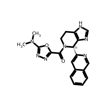 CN(C)c1nnc(C(=O)N2CCc3[nH]cnc3[C@@H]2c2cc3ccccc3cn2)o1